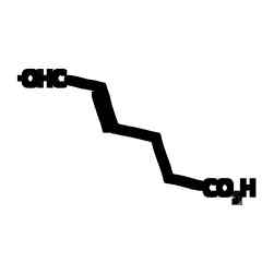 O=[C]C=CCCC(=O)O